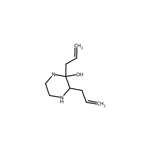 C=CCC1NCC[N]C1(O)CC=C